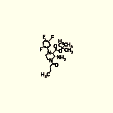 CCCC(=O)N1CCN(c2cc(F)c(F)cc2F)C(C(=O)OC(C)(C)C)[C@@H]1N